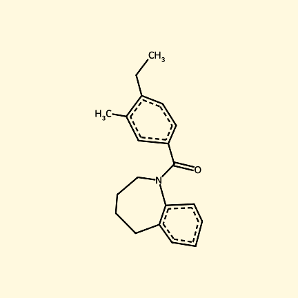 CCc1ccc(C(=O)N2CCCCc3ccccc32)cc1C